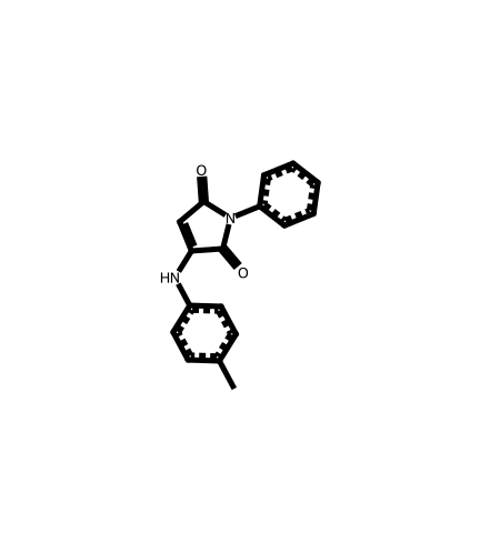 Cc1ccc(NC2=CC(=O)N(c3ccccc3)C2=O)cc1